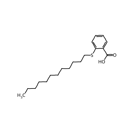 CCCCCCCCCCCCSc1ccccc1C(=O)O